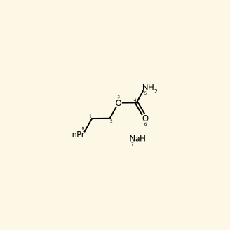 CCCCCOC(N)=O.[NaH]